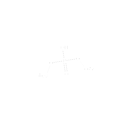 CC(=O)OOP(=O)(O)OOC(C)=O